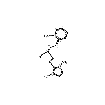 CCC(N=Nc1n(C)cc[n+]1C)=NN=c1ccccn1C